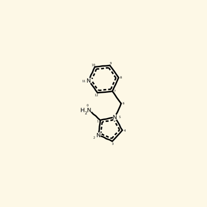 Nc1nccn1Cc1cccnc1